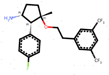 C[C@]1(OCCc2cc(C(F)(F)F)cc(C(F)(F)F)c2)CC[C@@H](N)[C@H]1c1ccc(F)cc1